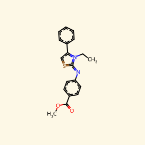 CCn1c(-c2ccccc2)cs/c1=N\c1ccc(C(=O)OC)cc1